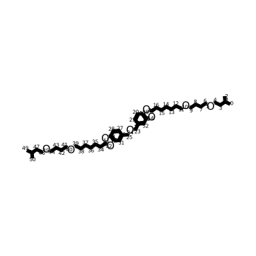 CC(C)CCOCCCCOCCCCCCC1Oc2ccc(COCc3ccc4c(c3)OC(CCCCCCOCCCCOCCC(C)C)O4)cc2O1